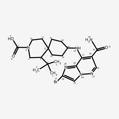 CC(C)(C)C1CN(C(=O)O)CCC12CCC(Nc1c(C(N)=O)cnn3cc(Br)nc13)CC2